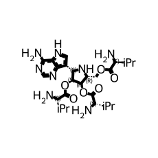 CC(C)[C@H](N)C(=O)OC[C@H]1N[C@@H](c2c[nH]c3c(N)ncnc23)[C@H](OC(=O)[C@@H](N)C(C)C)[C@@H]1OC(=O)[C@@H](N)C(C)C